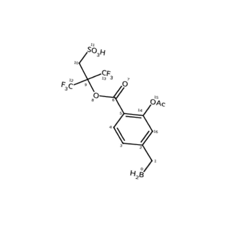 BCc1ccc(C(=O)OC(CS(=O)(=O)O)(C(F)(F)F)C(F)(F)F)c(OC(C)=O)c1